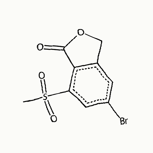 CS(=O)(=O)c1cc(Br)cc2c1C(=O)OC2